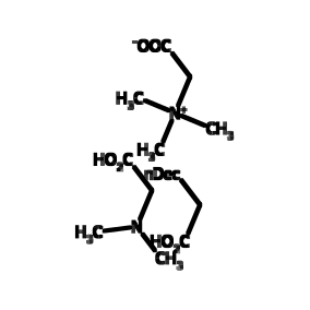 CCCCCCCCCCCC(=O)O.CN(C)CC(=O)O.C[N+](C)(C)CC(=O)[O-]